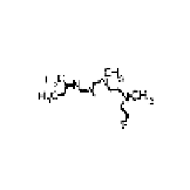 CC/C(C)=N\C=N/CN(C)CCN(C)CCF